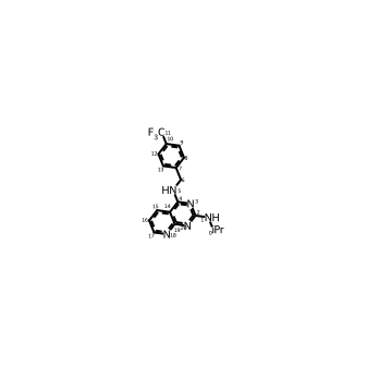 CC(C)Nc1nc(NCc2ccc(C(F)(F)F)cc2)c2cccnc2n1